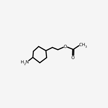 CC(=O)OCCC1CCC(N)CC1